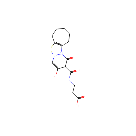 O=C(O)CCNC(=O)C1C(=O)N2C3=C(CCCCC3)SN2C=C1O